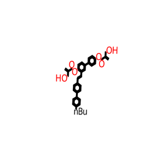 C=C(CO)C(=O)Oc1ccc(-c2ccc(OC(=O)C(=C)CO)c(/C=C/c3ccc(-c4ccc(CCCC)cc4)cc3)c2)cc1